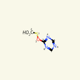 O=C(O)SOc1ncncn1